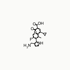 Cc1c(-c2[nH]ccc2CN)c(F)cn2c(=O)c(C(=O)O)cc(C3CC3)c12